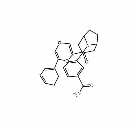 NC(=O)c1cccc(C2CC3CCC(C2)N3C(=O)C2=COC=C(C3=CC=CCC3)O2)c1